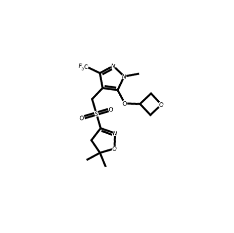 Cn1nc(C(F)(F)F)c(CS(=O)(=O)C2=NOC(C)(C)C2)c1OC1COC1